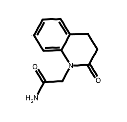 NC(=O)CN1C(=O)CCc2cc[c]cc21